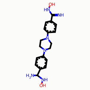 N=C(NO)c1ccc(N2CCN(c3ccc(C(N)NO)cc3)CC2)cc1